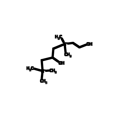 C[N+](C)(C)CC(O)C[N+](C)(C)CCO